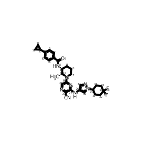 C[C@@H]1[C@H](NC(=O)c2ccc(C3CC3)cc2)CCCN1c1cnc(C#N)c(Nc2cnn(C3CCC(F)(F)CC3)c2)n1